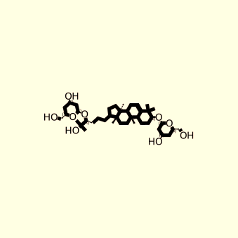 CC(C)(O)[C@@H](CCCC1CC[C@@]2(C)C3CC=C4C(CC[C@H](O[C@H]5C[C@@H](O)C[C@@H](CO)O5)C4(C)C)[C@]3(C)CC[C@]12C)O[C@H]1C[C@@H](O)C[C@@H](CO)O1